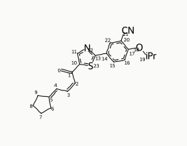 C=C(/C=C\C=C1CCCC1)c1cnc(-c2ccc(OC(C)C)c(C#N)c2)s1